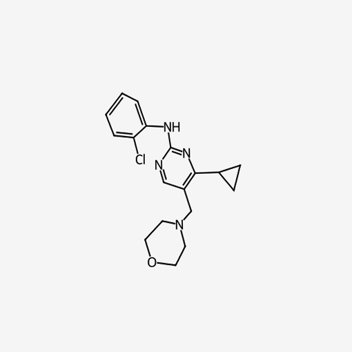 Clc1ccccc1Nc1ncc(CN2CCOCC2)c(C2CC2)n1